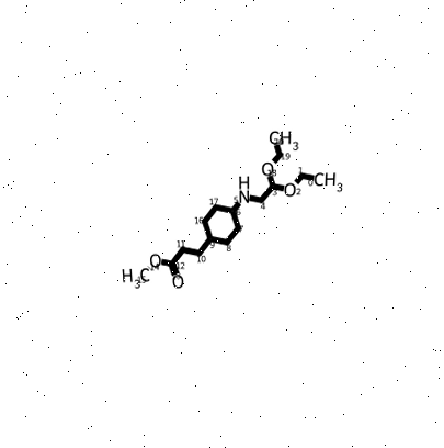 CCOC(CNC1CCC(CCC(=O)OC)CC1)OCC